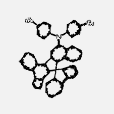 CC(C)(C)c1ccc(N(c2ccc(C(C)(C)C)cc2)c2cc3c(c4ccccc24)C2(c4ccccc4-c4ccccc42)c2c-3c3ccccc3c3ccccc23)cc1